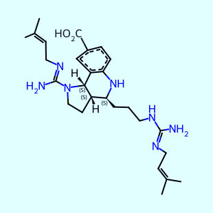 CC(C)=CCN=C(N)NCCC[C@@H]1Nc2ccc(C(=O)O)cc2[C@@H]2[C@H]1CCN2C(N)=NCC=C(C)C